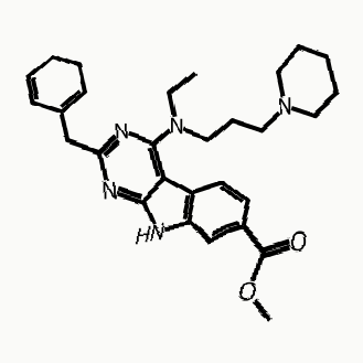 CCN(CCCN1CCCCC1)c1nc(CC2=CCCC=C2)nc2[nH]c3cc(C(=O)OC)ccc3c12